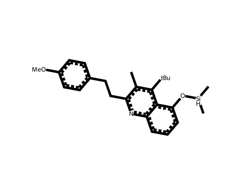 COc1ccc(CCc2nc3cccc(O[SiH](C)C)c3c(C(C)(C)C)c2C)cc1